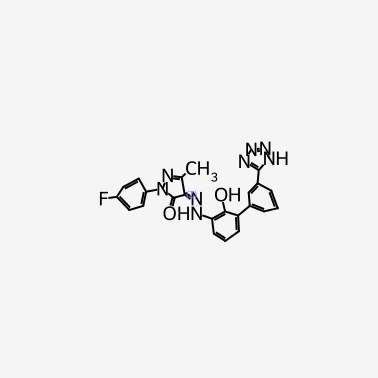 CC1=NN(c2ccc(F)cc2)C(=O)/C1=N\Nc1cccc(-c2cccc(-c3nnn[nH]3)c2)c1O